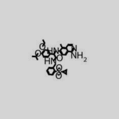 CCOc1cc(C(Nc2ccc3c(N)nccc3c2C)C(=O)NCc2ccccc2S(=O)(=O)C2CC2)ccc1OC(C)C